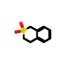 O=S1(=O)CCc2ccccc2C1